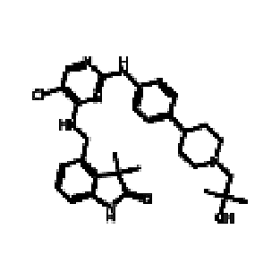 CC(C)(O)CN1CCC(c2ccc(Nc3ncc(Cl)c(NCc4cccc5c4C(C)(C)C(=O)N5)n3)cc2)CC1